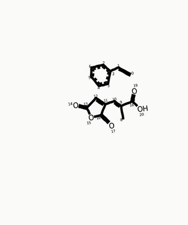 C=Cc1ccccc1.CC(=CC1=CC(=O)OC1=O)C(=O)O